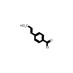 CCC(=O)c1ccc(C=CC(=O)O)cc1